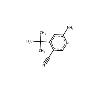 CC(C)(C)c1cc(N)ncc1C#N